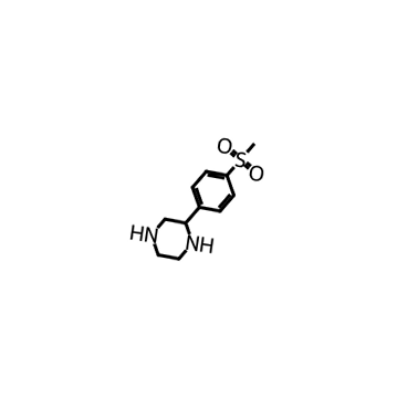 CS(=O)(=O)c1ccc(C2CNCCN2)cc1